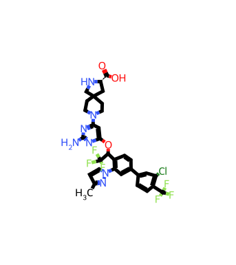 Cc1ccn(-c2cc(-c3ccc(C(F)(F)F)c(Cl)c3)ccc2C(Oc2cc(N3CCC4(CC3)CN[C@H](C(=O)O)C4)nc(N)n2)C(F)(F)F)n1